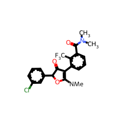 CNC1=C(c2cccc(C(=O)N(C)C)c2C(F)(F)F)C(=O)C(c2cccc(Cl)c2)O1